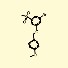 COc1ccc(COc2cc(Br)cc(S(C)(=O)=O)c2)cc1